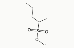 [CH2]OS(=O)(=O)C(C)CCC